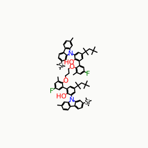 Cc1ccc2c3ccc([Si](C)(C)C)cc3n(-c3cc(C(C)(C)CC(C)(C)C)cc(-c4cc(F)cc(C)c4OCCCOc4c(C)cc(F)cc4-c4cc(C(C)(C)CC(C)(C)C)cc(-n5c6cc(C)ccc6c6ccc([Si](C)(C)C)cc65)c4O)c3O)c2c1